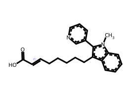 Cn1c(-c2cccnc2)c(CCCCC/C=C/C(=O)O)c2ccccc21